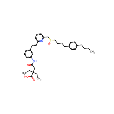 CCCCc1ccc(CCCC[S+]([O-])Cc2cccc(/C=C/c3cccc(NC(=O)CC(CC)(CC)C(=O)O)c3)n2)cc1